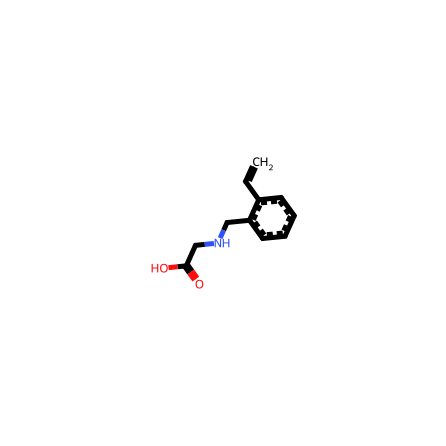 C=Cc1ccccc1CNCC(=O)O